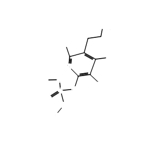 CCOP(=S)(OCC)Oc1nc(C)c(CCC(=O)O)c(C)c1Br